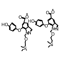 COC(=O)c1cc(Oc2ccc(O)cc2)c2c(cnn2COCC[Si](C)(C)C)c1.COC(=O)c1cc(Oc2ccc(O)cc2)c2c(cnn2COCC[Si](C)(C)C)c1